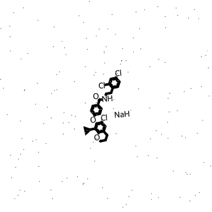 O=C(NCCc1ccc(Cl)cc1Cl)c1ccc(Oc2c(Cl)cc3c(c2C2CC2)OCCC3)cc1.[NaH]